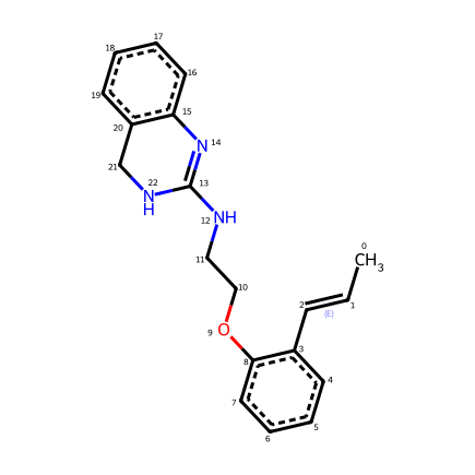 C/C=C/c1ccccc1OCCNC1=Nc2ccccc2CN1